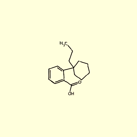 CCCC1(c2ccccc2C(=O)O)CCCCC1